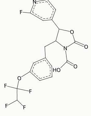 O=C(O)N1C(=O)OC(c2ccnc(F)c2)C1Cc1cccc(OC(F)(F)C(F)F)c1